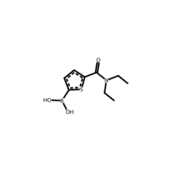 CCN(CC)C(=O)c1ccc(B(O)O)s1